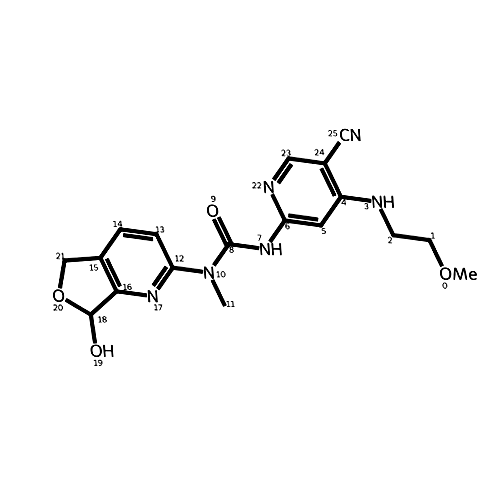 COCCNc1cc(NC(=O)N(C)c2ccc3c(n2)C(O)OC3)ncc1C#N